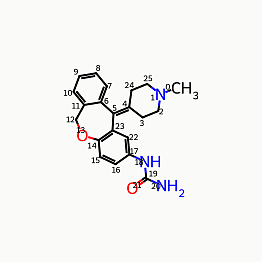 CN1CCC(=C2c3ccccc3COc3ccc(NC(N)=O)cc32)CC1